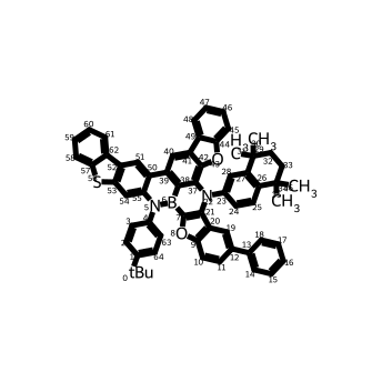 CC(C)(C)c1ccc(N2B3c4oc5ccc(-c6ccccc6)cc5c4N(c4ccc5c(c4)C(C)(C)CCC5(C)C)c4c3c(cc3c4oc4ccccc43)-c3cc4c(cc32)sc2ccccc24)cc1